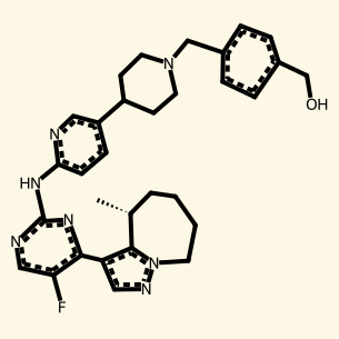 C[C@@H]1CCCCn2ncc(-c3nc(Nc4ccc(C5CCN(Cc6ccc(CO)cc6)CC5)cn4)ncc3F)c21